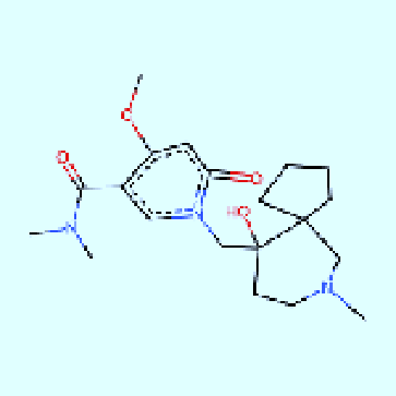 COc1cc(=O)n(CC2(O)CCN(C)CC23CCCC3)cc1C(=O)N(C)C